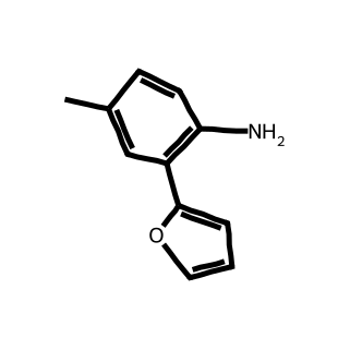 Cc1ccc(N)c(-c2ccco2)c1